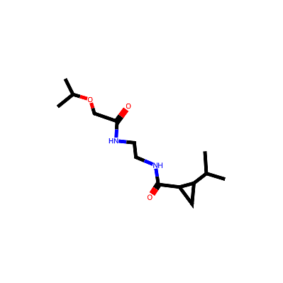 CC(C)OCC(=O)NCCNC(=O)C1CC1C(C)C